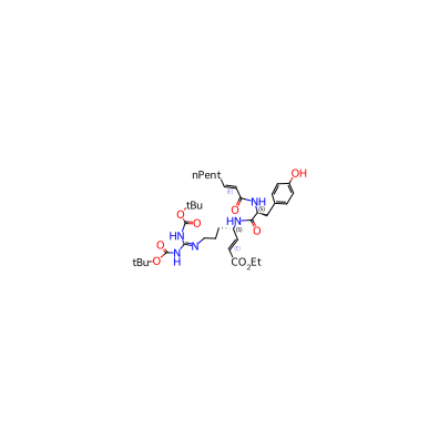 CCCCC/C=C/C(=O)N[C@@H](Cc1ccc(O)cc1)C(=O)N[C@H](/C=C/C(=O)OCC)CCCN=C(NC(=O)OC(C)(C)C)NC(=O)OC(C)(C)C